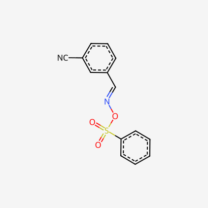 N#Cc1cccc(C=NOS(=O)(=O)c2ccccc2)c1